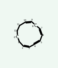 [CH]1CC=CC=CC=CCC=CCC1